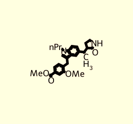 CCCn1cc(Cc2ccc(C(=O)OC)cc2OC)c2cc(C(C)C3CCNC3=O)ccc21